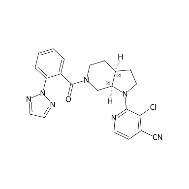 N#Cc1ccnc(N2CC[C@@H]3CCN(C(=O)c4ccccc4-n4nccn4)C[C@@H]32)c1Cl